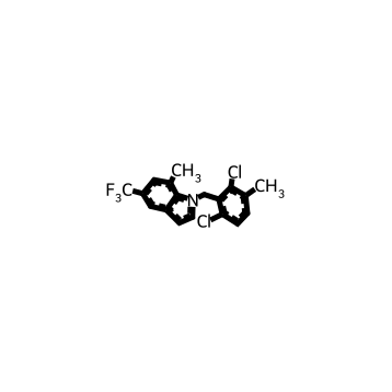 Cc1ccc(Cl)c(Cn2ccc3cc(C(F)(F)F)cc(C)c32)c1Cl